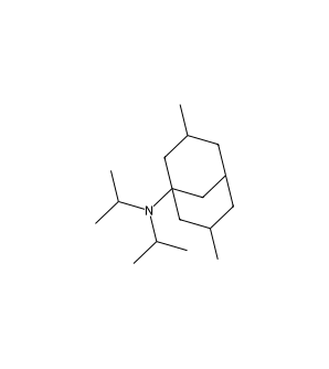 CC1CC2CC(C)CC(N(C(C)C)C(C)C)(C1)C2